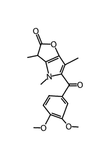 COc1ccc(C(=O)c2c(C)c3c(n2C)C(C)C(=O)O3)cc1OC